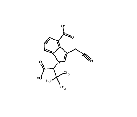 CC(C)(C)C(C(=O)O)n1cc(CC#N)c2c([N+](=O)[O-])cccc21